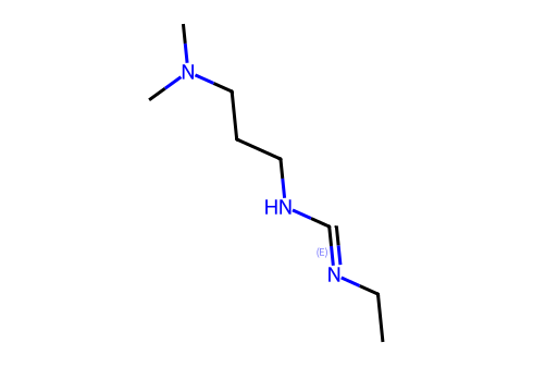 CC/N=[C]/NCCCN(C)C